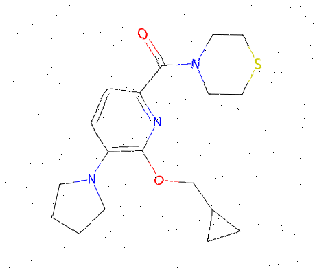 O=C(c1ccc(N2CCCC2)c(OCC2CC2)n1)N1CCSCC1